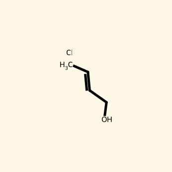 CC=CCO.[C]